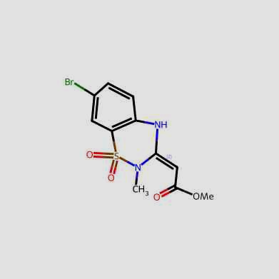 COC(=O)/C=C1/Nc2ccc(Br)cc2S(=O)(=O)N1C